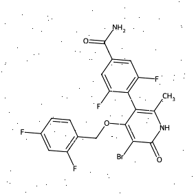 Cc1[nH]c(=O)c(Br)c(OCc2ccc(F)cc2F)c1-c1c(F)cc(C(N)=O)cc1F